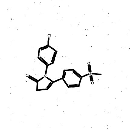 CS(=O)(=O)c1ccc(C2=CCC(=O)N2c2ccc(Cl)cc2)cc1